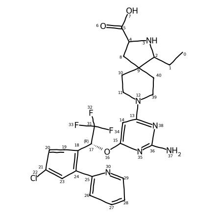 CCC1NC(C(=O)O)CC12CCN(c1cc(O[C@H](c3ccc(Cl)cc3-c3ccccn3)C(F)(F)F)nc(N)n1)CC2